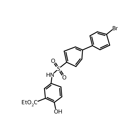 CCOC(=O)c1cc(NS(=O)(=O)c2ccc(-c3ccc(Br)cc3)cc2)ccc1O